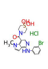 Cl.Cn1ccc2c(Nc3cccc(Br)c3)ncc(C(=O)N3CCS(O)(O)CC3)c21